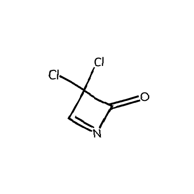 O=C1N=CC1(Cl)Cl